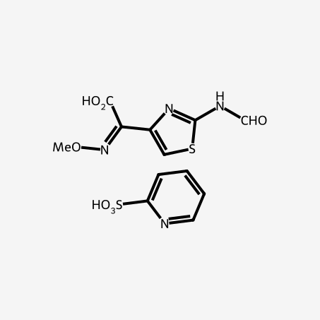 CON=C(C(=O)O)c1csc(NC=O)n1.O=S(=O)(O)c1ccccn1